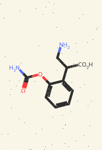 NCC(C(=O)O)c1ccccc1OC(N)=O